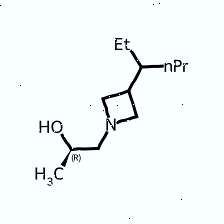 CCCC(CC)C1CN(C[C@@H](C)O)C1